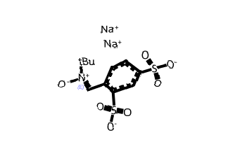 CC(C)(C)/[N+]([O-])=C\c1ccc(S(=O)(=O)[O-])cc1S(=O)(=O)[O-].[Na+].[Na+]